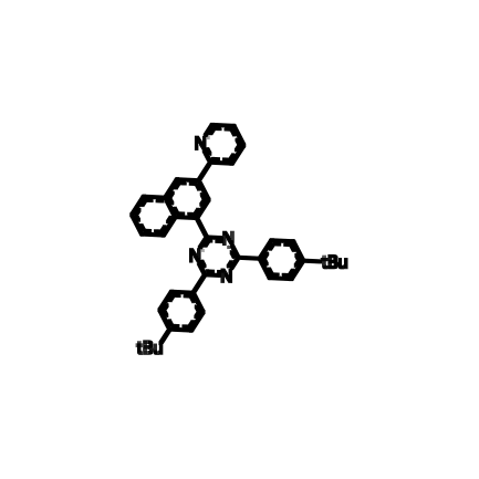 CC(C)(C)c1ccc(-c2nc(-c3ccc(C(C)(C)C)cc3)nc(-c3cc(-c4ccccn4)cc4ccccc34)n2)cc1